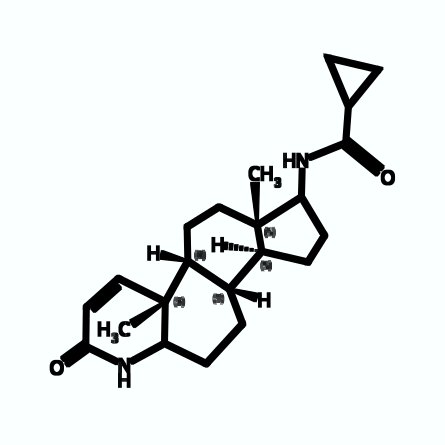 C[C@]12C=CC(=O)NC1CC[C@@H]1[C@H]2CC[C@]2(C)C(NC(=O)C3CC3)CC[C@@H]12